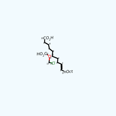 CCCCCCCC/C=C/CCCCCCCC(=O)O.O=C(O)OCCl